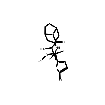 CC(C)(C)OC(=O)NC1CC2CCC(C1)N2C(=O)C(N)C(F)(F)c1ccc(Cl)s1